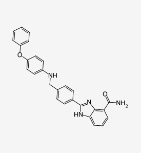 NC(=O)c1cccc2[nH]c(-c3ccc(CNc4ccc(Oc5ccccc5)cc4)cc3)nc12